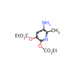 CCOC(=O)Oc1cc(N)c(C)nc1OC(=O)OCC